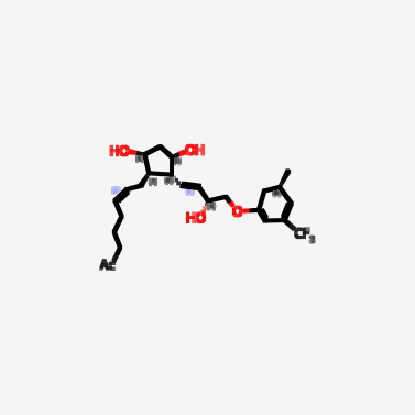 CC(=O)CCC/C=C\C[C@@H]1[C@@H](/C=C/[C@@H](O)COC2=CC(C(F)(F)F)=C[C@H](C)C2)[C@H](O)C[C@@H]1O